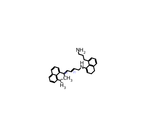 C/C(=C\C=C\CNC1=CCCc2cccc(CCCN)c21)c1cccc2cccc(C)c12